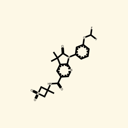 CC1(NC(=O)c2cnc3c(c2)C(C)(C)C(=O)N3c2cccc(OC(F)F)c2)CS(=O)(=O)C1